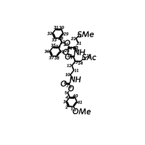 COc1ccc(COC(=O)NCCCC(CSC(C)=O)C(=O)N[C@@H](CCSC)C(=O)OC(c2ccccc2)c2ccccc2)cc1